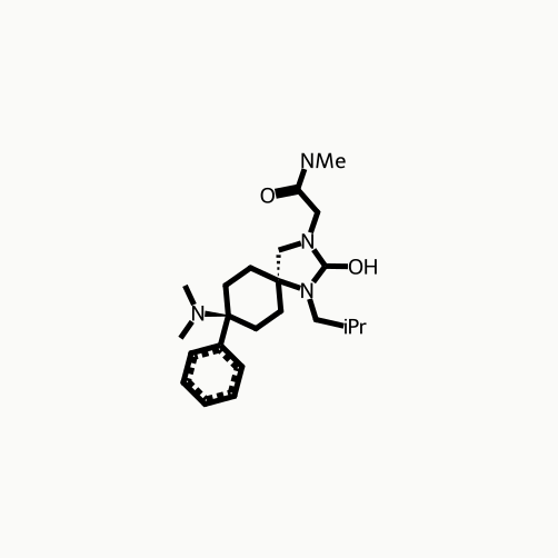 CNC(=O)CN1C[C@]2(CC[C@](c3ccccc3)(N(C)C)CC2)N(CC(C)C)C1O